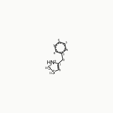 C1=C(Cc2ccccc2)NSS1